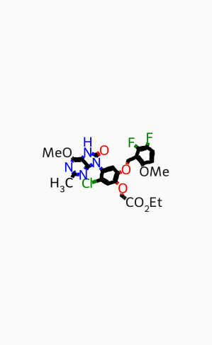 CCOC(=O)COc1cc(Cl)c(-n2c(=O)[nH]c3c(OC)nc(C)nc32)cc1OCc1c(OC)ccc(F)c1F